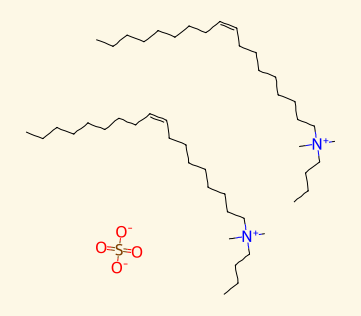 CCCCCCCC/C=C\CCCCCCCC[N+](C)(C)CCCC.CCCCCCCC/C=C\CCCCCCCC[N+](C)(C)CCCC.O=S(=O)([O-])[O-]